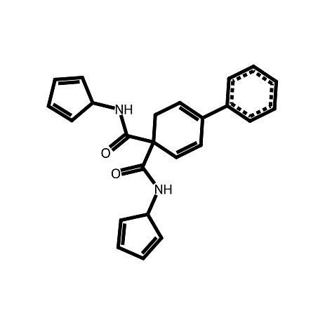 O=C(NC1C=CC=C1)C1(C(=O)NC2C=CC=C2)C=CC(c2ccccc2)=CC1